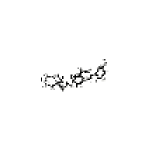 O=C(Nc1cn2cc(-c3cccc(F)c3)ccc2n1)C1(F)CCOCC1